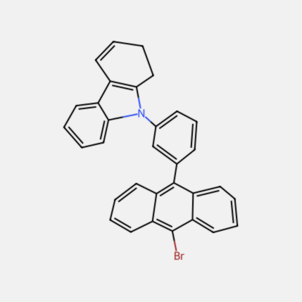 Brc1c2ccccc2c(-c2cccc(-n3c4c(c5ccccc53)C=CCC4)c2)c2ccccc12